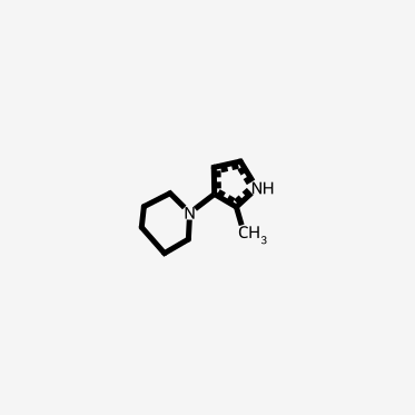 Cc1[nH]ccc1N1CCCCC1